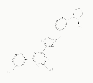 CC(=O)[C@@H]1CCCN1c1cccc(Cn2cc(-c3cc(-c4cccc(C#N)c4)nc(N)n3)nn2)n1